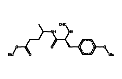 CC(CCC(=O)OC(C)(C)C)NC(=O)[C@H](Cc1ccc(OC(C)(C)C)cc1)NC=O